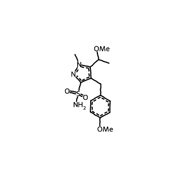 COc1ccc(Cc2c(S(N)(=O)=O)nn(C)c2C(C)OC)cc1